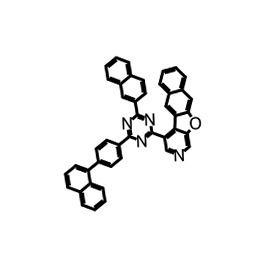 c1ccc2cc(-c3nc(-c4ccc(-c5cccc6ccccc56)cc4)nc(-c4cncc5oc6cc7ccccc7cc6c45)n3)ccc2c1